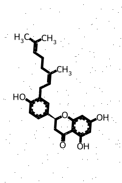 CC(C)=CCCC(C)=CCc1cc([C@@H]2CC(=O)c3c(O)cc(O)cc3O2)ccc1O